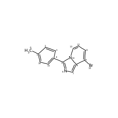 Cc1ccc(-c2ncc3c(Br)cccn23)cc1